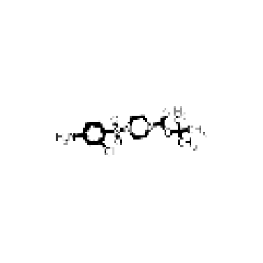 CC(C)(C)OC(=O)N1CCN(S(=O)(=O)c2ccc(N)cc2Cl)CC1